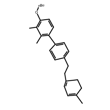 CCCCOc1ccc(-c2ccc(CCC3=CC=C(C)CC3)cc2)c(C)c1C